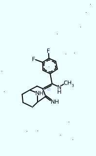 CN/C(=C1/CC2CCCC(N2)C1=N)c1ccc(F)c(F)c1